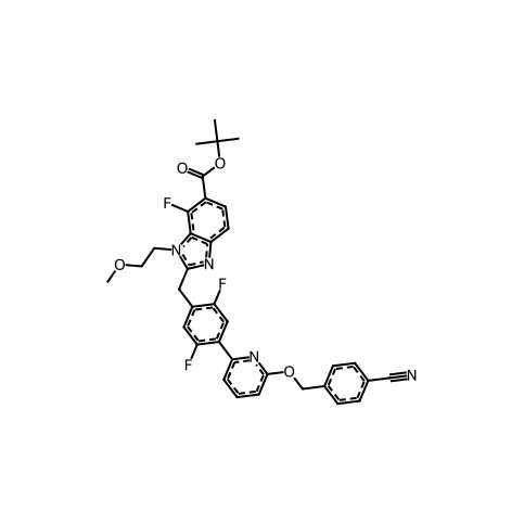 COCCn1c(Cc2cc(F)c(-c3cccc(OCc4ccc(C#N)cc4)n3)cc2F)nc2ccc(C(=O)OC(C)(C)C)c(F)c21